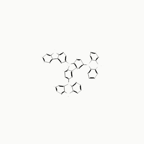 c1ccc2c(c1)Oc1ccccc1N2c1ccc2c(c1)c1cc(N3c4ccccc4Oc4ccccc43)ccc1n2-c1ccc2oc3ccccc3c2c1